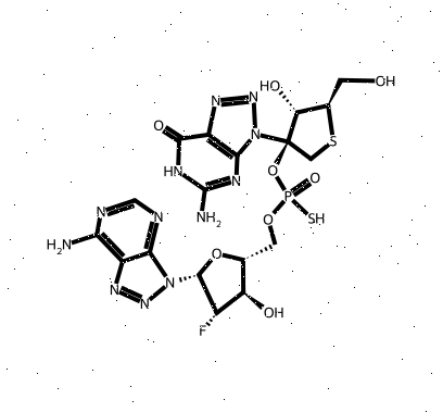 Nc1nc2c(nnn2[C@@]2(OP(=O)(S)OC[C@H]3O[C@@H](n4nnc5c(N)ncnc54)[C@@H](F)[C@@H]3O)CS[C@H](CO)[C@H]2O)c(=O)[nH]1